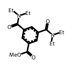 CCN(CC)C(=O)c1cc(C(=O)OC)cc(C(=O)N(CC)CC)c1